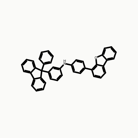 c1ccc(C2(c3cccc(Nc4ccc(-c5cccc6c5oc5ccccc56)cc4)c3)c3ccccc3-c3ccccc32)cc1